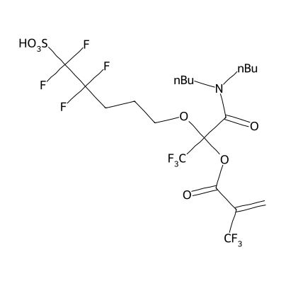 C=C(C(=O)OC(OCCCC(F)(F)C(F)(F)S(=O)(=O)O)(C(=O)N(CCCC)CCCC)C(F)(F)F)C(F)(F)F